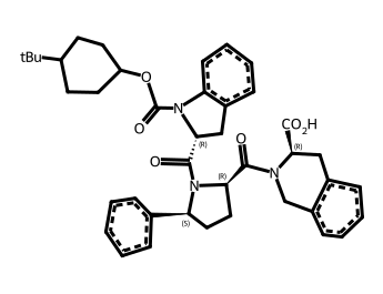 CC(C)(C)C1CCC(OC(=O)N2c3ccccc3C[C@@H]2C(=O)N2[C@@H](C(=O)N3Cc4ccccc4C[C@@H]3C(=O)O)CC[C@H]2c2ccccc2)CC1